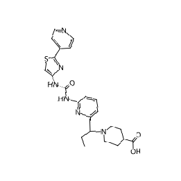 CCC(c1cccc(NC(=O)Nc2csc(-c3ccncc3)n2)n1)N1CCC(C(=O)O)CC1